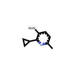 CNc1ccc(C)nc1C1CC1